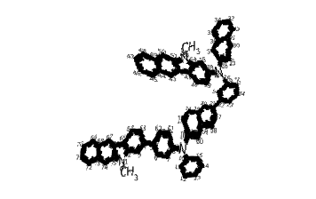 Cn1c2cc(-c3ccc(N(c4ccccc4)c4ccc5cc(-c6cccc(N(c7ccc8ccccc8c7)c7ccc8c9cc%10ccccc%10cc9n(C)c8c7)c6)ccc5c4)cc3)ccc2c2cc3ccccc3cc21